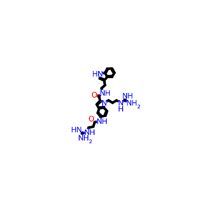 N=C(N)NCCCn1c(C(=O)NCCc2c[nH]c3ccccc23)cc2cc(NC(=O)CCNC(=N)N)ccc21